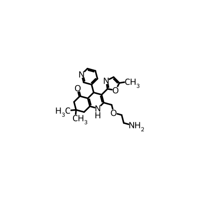 Cc1cnc(C2=C(COCCN)NC3=C(C(=O)CC(C)(C)C3)C2c2cccnc2)o1